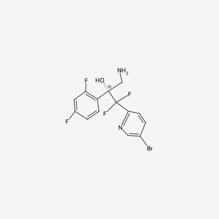 NC[C@](O)(c1ccc(F)cc1F)C(F)(F)c1ccc(Br)cn1